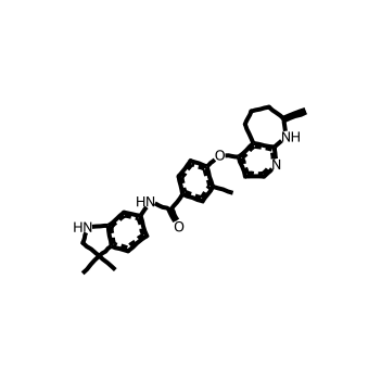 C=C1CCCc2c(Oc3ccc(C(=O)Nc4ccc5c(c4)NCC5(C)C)cc3C)ccnc2N1